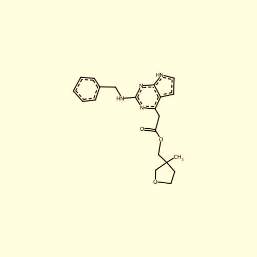 CC1(COC(=O)Cc2nc(NCc3ccccc3)nc3[nH]ccc23)CCOC1